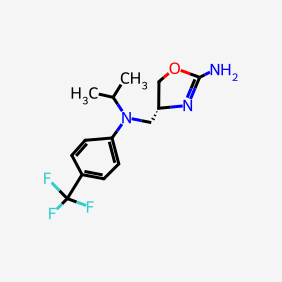 CC(C)N(C[C@@H]1COC(N)=N1)c1ccc(C(F)(F)F)cc1